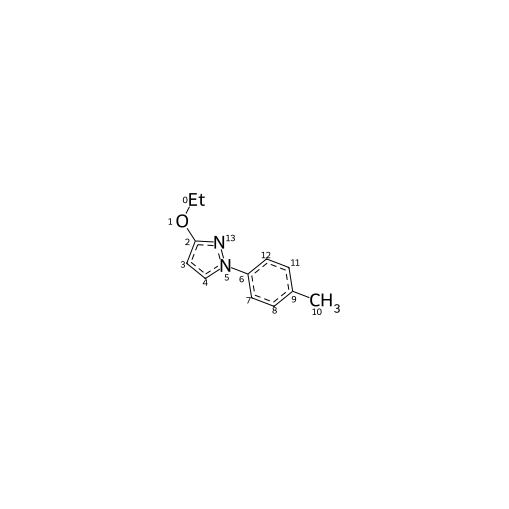 CCOc1ccn(-c2ccc(C)cc2)n1